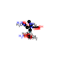 CC(C)c1c(C(=O)Nc2ccccc2)c(-c2ccccc2)c(-c2ccc(F)cc2)n1CC[C@@H](O)C[C@@H](O)CC(=O)O.CC1(C)O[C@@H]2[C@@H](CO[C@@]3(COS(N)(=O)=O)OC(C)(C)O[C@@H]23)O1.CC[C@@H](C(N)=O)N1CCCC1=O